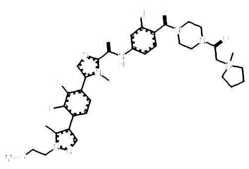 COCCn1ncc(-c2ccc(-c3cnc(C(=O)Nc4ccc(C(=O)N5CCN(C(=O)C[N+]6(C)CCCC6)CC5)c(Cl)c4)n3C)c(F)c2F)c1C